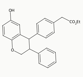 CCOC(=O)Cc1ccc(C2c3cc(O)ccc3OCC2c2ccccc2)cc1